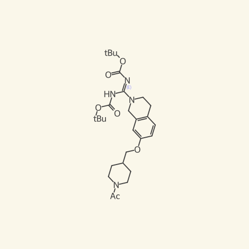 CC(=O)N1CCC(COc2ccc3c(c2)CN(/C(=N/C(=O)OC(C)(C)C)NC(=O)OC(C)(C)C)CC3)CC1